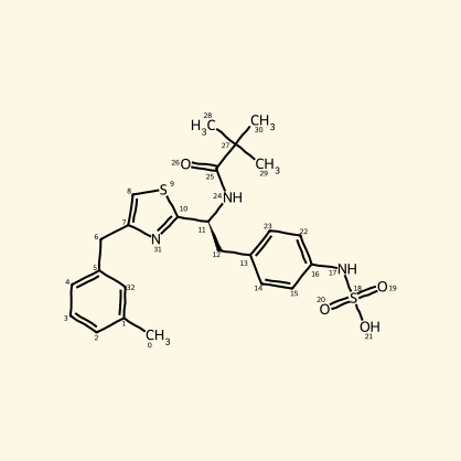 Cc1cccc(Cc2csc([C@H](Cc3ccc(NS(=O)(=O)O)cc3)NC(=O)C(C)(C)C)n2)c1